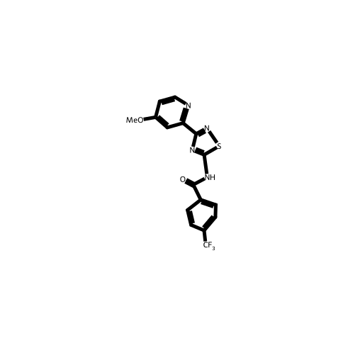 COc1ccnc(-c2nsc(NC(=O)c3ccc(C(F)(F)F)cc3)n2)c1